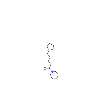 O=C(CCCCC1CCCC1)N1CCCCC1